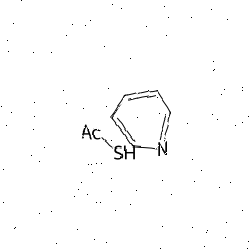 CC(=O)S.c1ccncc1